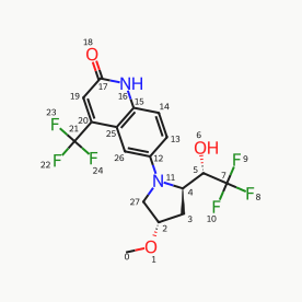 CO[C@H]1C[C@H]([C@H](O)C(F)(F)F)N(c2ccc3[nH]c(=O)cc(C(F)(F)F)c3c2)C1